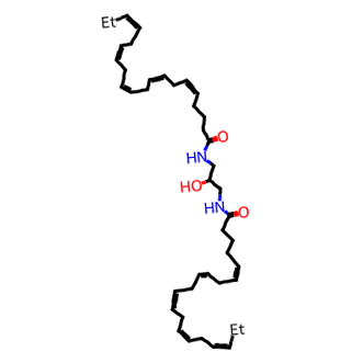 CC/C=C\C/C=C\C/C=C\C/C=C\C/C=C\CCCC(=O)NCC(O)CNC(=O)CCC/C=C\C/C=C\C/C=C\C/C=C\C/C=C\CC